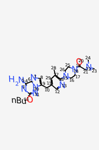 CCCCOc1nc(N)c2ncc(Cc3cnc(N4CCN(C(=O)CN(C)C)CC4)c(C)c3)n2n1